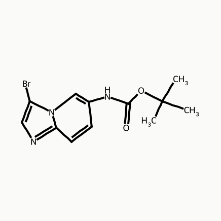 CC(C)(C)OC(=O)Nc1ccc2ncc(Br)n2c1